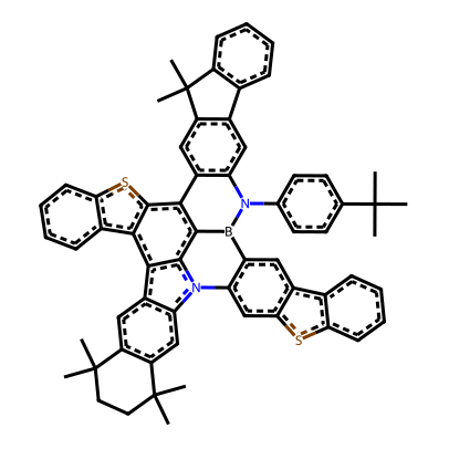 CC(C)(C)c1ccc(N2B3c4cc5c(cc4-n4c6cc7c(cc6c6c8c(sc9ccccc98)c(c3c64)-c3cc4c(cc32)-c2ccccc2C4(C)C)C(C)(C)CCC7(C)C)sc2ccccc25)cc1